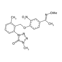 CON=C(C)c1ccc(OCc2c(C)cccc2-n2nnn(C)c2=O)c([N+](=O)[O-])c1